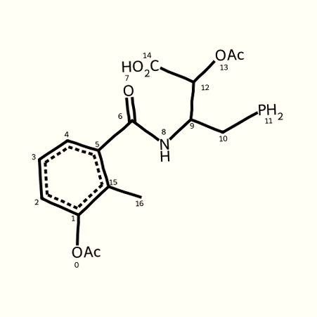 CC(=O)Oc1cccc(C(=O)NC(CP)C(OC(C)=O)C(=O)O)c1C